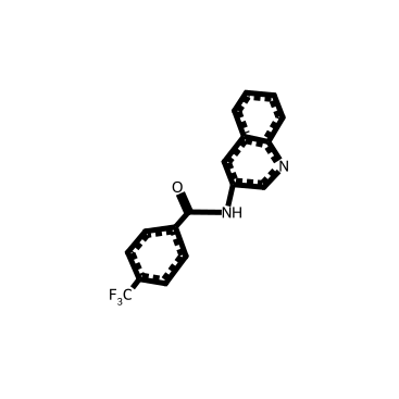 O=C(Nc1cnc2ccccc2c1)c1ccc(C(F)(F)F)cc1